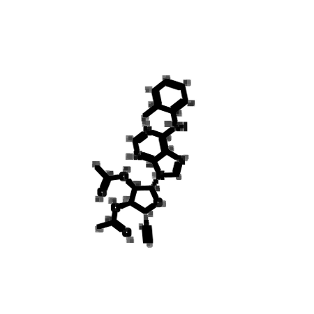 C#C[C@H]1O[C@@H](n2cnc3c(Nc4ccccc4C)ncnc32)[C@H](OC(C)=O)[C@@H]1OC(C)=O